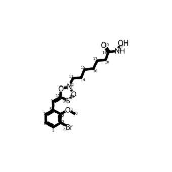 COc1c(Br)cccc1C=C1ON(CCCCCCC(=O)NO)OS1